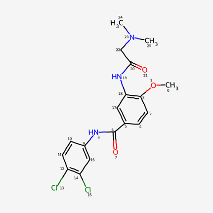 COc1ccc(C(=O)Nc2ccc(Cl)c(Cl)c2)cc1NC(=O)CN(C)C